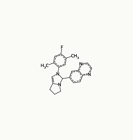 Cc1cc(N2C=C3CCCN3C2c2ccc3nccnc3c2)c(C)cc1F